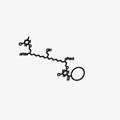 CCCCCCC(CCCCCCCC(CCO)CCCCCCCC(CCCCC)CCOc1nc(Cl)nc(NC2CCCCCCCCCCCCCC2)n1)CCOc1nc(C)cc(Cl)n1